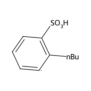 CCCCc1[c]cccc1S(=O)(=O)O